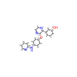 Oc1cccc(-c2nccnc2Oc2ccc(Nc3ccccn3)cc2)c1